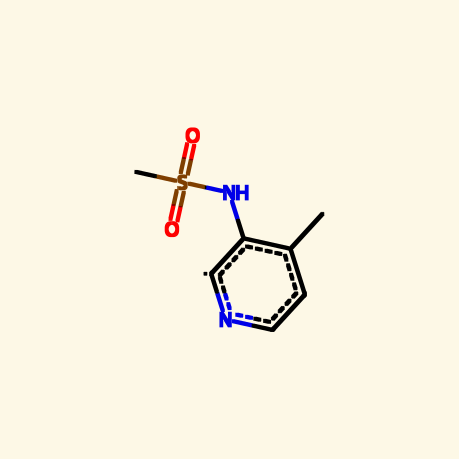 Cc1ccn[c]c1NS(C)(=O)=O